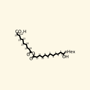 CCCCCCC(O)CCCCCCCCCCC(=O)OC(=O)CCCCCCCCC(=O)O